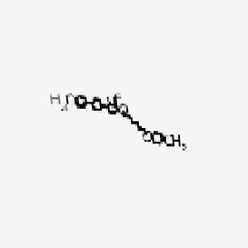 Cc1ccc(-c2ccc(-c3ccc(OCCCCCCOC4CCC(C)CC4)c(F)n3)cc2)cc1